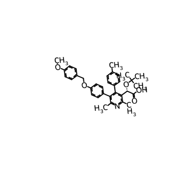 COc1ccc(COc2ccc(-c3c(C)nc(C)c([C@H](OC(C)(C)C)C(=O)O)c3-c3ccc(C)cc3)cc2)cc1